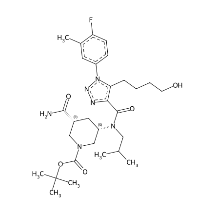 Cc1cc(-n2nnc(C(=O)N(CC(C)C)[C@H]3C[C@@H](C(N)=O)CN(C(=O)OC(C)(C)C)C3)c2CCCCO)ccc1F